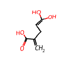 C=C(CC=C(O)O)C(=O)O